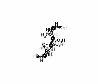 Cc1nc(Nc2ccc(NCCO)cc2)nc(Nc2ccc(C=Cc3ccc(Nc4nc(NCCO)nc(Nc5ccc(NCCO)cc5)n4)cc3S(=O)(=O)O)c(S(=O)(=O)O)c2)n1